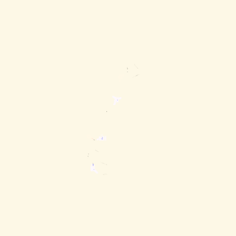 O=C(N[C@H]1CC[C@H](CCN2CCC(Oc3ccc(F)cc3F)CC2)CC1)c1ccc2ncccc2c1